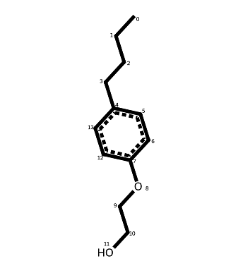 CCCCc1ccc(OCCO)cc1